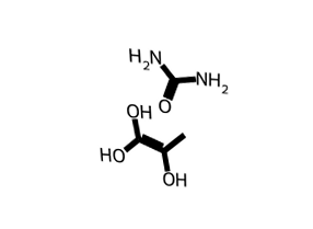 CC(O)=C(O)O.NC(N)=O